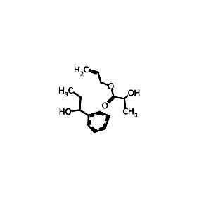 C=CCOC(=O)C(C)O.CCC(O)c1ccccc1